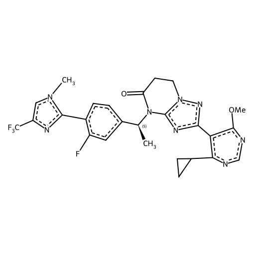 COc1ncnc(C2CC2)c1-c1nc2n(n1)CCC(=O)N2[C@@H](C)c1ccc(-c2nc(C(F)(F)F)cn2C)c(F)c1